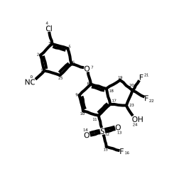 N#Cc1cc(Cl)cc(Oc2ccc(S(=O)(=O)CF)c3c2CC(F)(F)C3O)c1